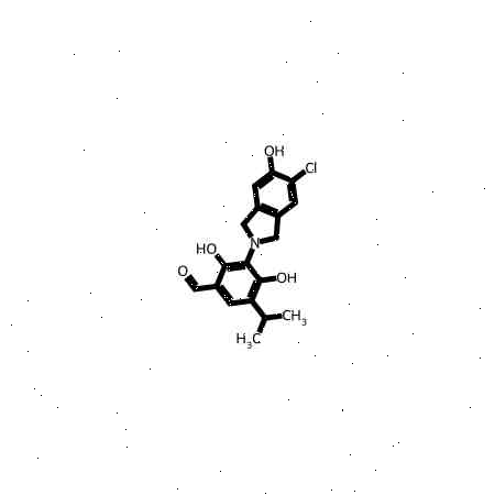 CC(C)c1cc(C=O)c(O)c(N2Cc3cc(O)c(Cl)cc3C2)c1O